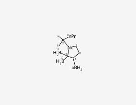 BC1CCN(C(C)(C)CCC)C1(B)B